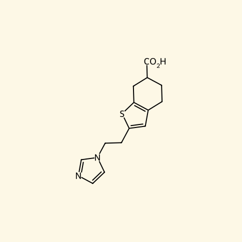 O=C(O)C1CCc2cc(CCn3ccnc3)sc2C1